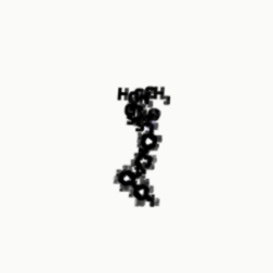 CC(C)C[C@@H](C(=O)O)N1C(=O)/C(=C/c2ccc(N3CCN(Cc4ccccc4-c4ccc(I)cc4)CC3)cc2)SC1=S